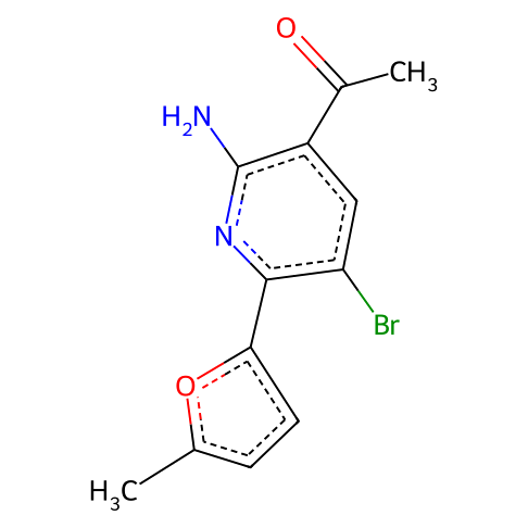 CC(=O)c1cc(Br)c(-c2ccc(C)o2)nc1N